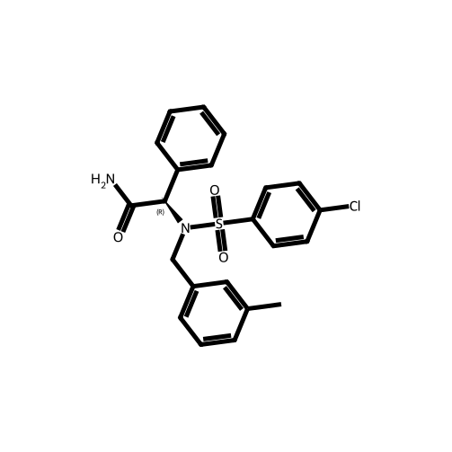 Cc1cccc(CN([C@@H](C(N)=O)c2ccccc2)S(=O)(=O)c2ccc(Cl)cc2)c1